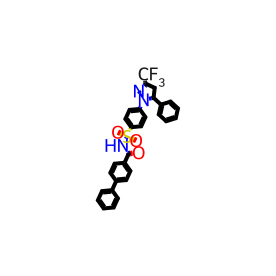 O=C(NS(=O)(=O)c1ccc(N2N=C(C(F)(F)F)CC2c2ccccc2)cc1)c1ccc(-c2ccccc2)cc1